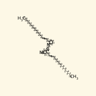 CCCCCCCCCCCCCCCCCC#CCCc1ccccc1N=CC=Nc1ccccc1CCC#CCCCCCCCCCCCCCCCCC.[Ni]